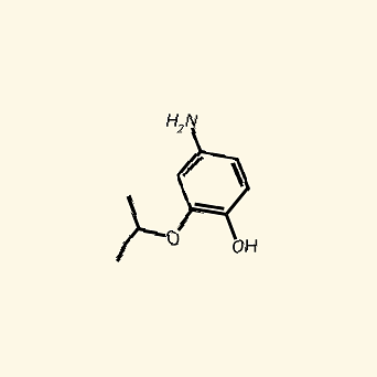 CC(C)Oc1cc(N)ccc1O